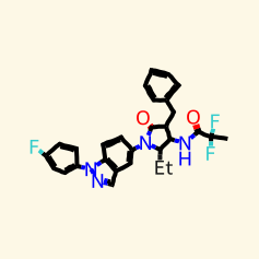 CCC1C(NC(=O)C(C)(F)F)C(Cc2ccccc2)C(=O)N1c1ccc2c(cnn2-c2ccc(F)cc2)c1